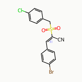 N#C/C(=C\c1ccc(Br)cc1)S(=O)(=O)Cc1ccc(Cl)cc1